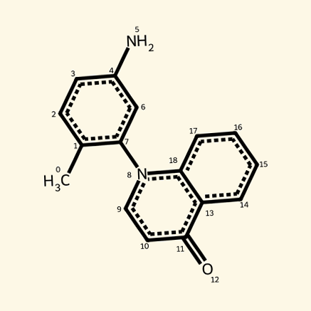 Cc1ccc(N)cc1-n1ccc(=O)c2ccccc21